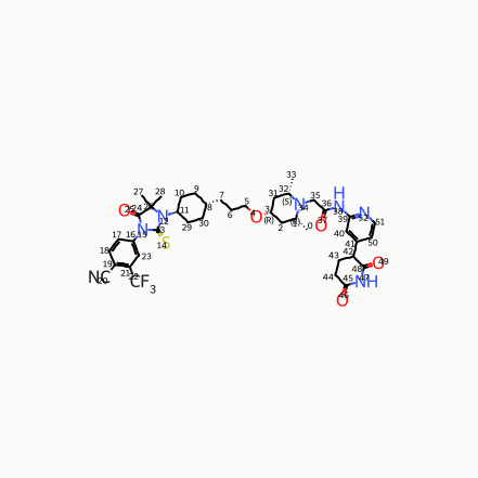 C[C@@H]1C[C@H](OCCC[C@H]2CC[C@H](N3C(=S)N(c4ccc(C#N)c(C(F)(F)F)c4)C(=O)C3(C)C)CC2)C[C@H](C)N1CC(=O)Nc1cc(C2CCC(=O)NC2=O)ccn1